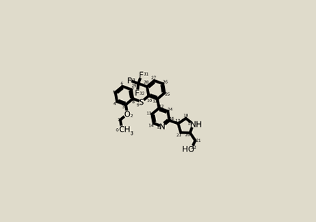 CCOc1ccccc1Sc1c(-c2ccnc(C3CNC(CO)C3)c2)cccc1C(F)(F)F